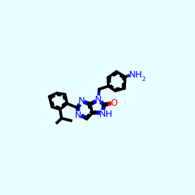 CC(C)c1ccccc1-c1ncc2[nH]c(=O)n(Cc3ccc(N)cc3)c2n1